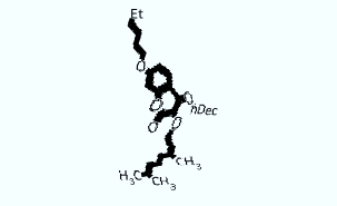 CCC=CCCOc1ccc2c(OCCCCCCCCCC)c(OCC=C(C)CCC=C(C)C)c(=O)oc2c1